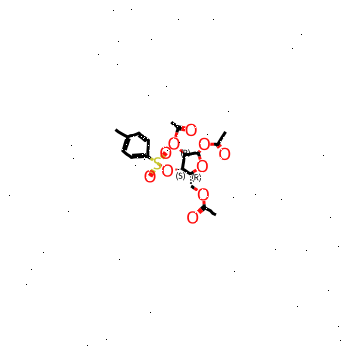 CC(=O)OC[C@H]1OC(OC(C)=O)[C@H](OC(C)=O)[C@H]1OS(=O)(=O)c1ccc(C)cc1